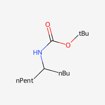 [CH2]CCCCC(CCCC)NC(=O)OC(C)(C)C